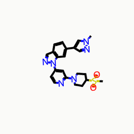 Cn1cc(-c2ccc3cnn(-c4ccnc(N5CCC(S(C)(=O)=O)CC5)c4)c3c2)cn1